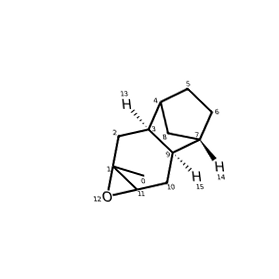 CC12C[C@H]3C4CC[C@@H](C4)[C@H]3CC1O2